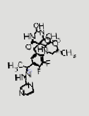 C/C(=N\Nc1cnccn1)c1cc2c(c(F)c1F)N1C[C@@H](C)O[C@@H](C)[C@@H]1C1(C2)C(=O)NC(=O)NC1=O